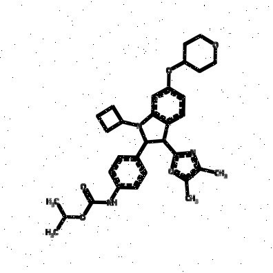 Cc1nc(C2c3ccc(OC4CCOCC4)cc3N(C3CCC3)C2c2ccc(NC(=O)OC(C)C)cc2)oc1C